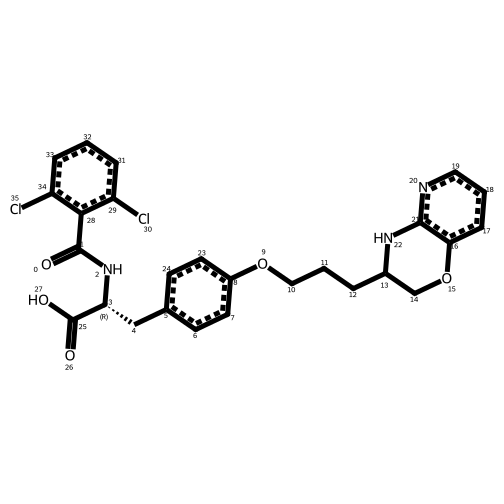 O=C(N[C@H](Cc1ccc(OCCCC2COc3cccnc3N2)cc1)C(=O)O)c1c(Cl)cccc1Cl